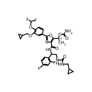 C[C@H](OC(N)=O)c1oc(-c2ccc(OC(F)F)c(OCC3CC3)c2)nc1C(=O)NC(CNC(=O)NCC1CC1)c1ccc(F)cc1F